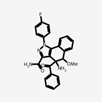 COC1c2ccccc2-c2c(c(C(N)=O)nn2-c2ccc(F)cc2)C1(N)C(=O)c1ccccc1